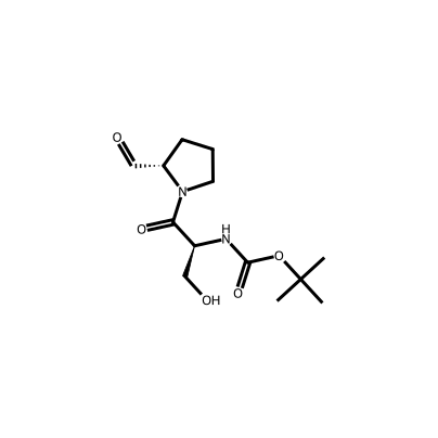 CC(C)(C)OC(=O)N[C@@H](CO)C(=O)N1CCC[C@H]1C=O